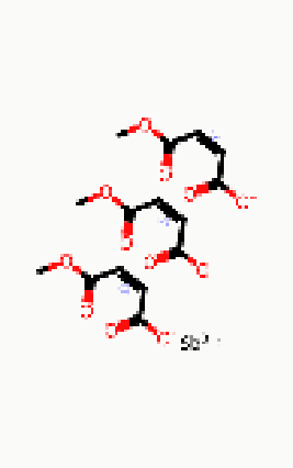 COC(=O)/C=C\C(=O)[O-].COC(=O)/C=C\C(=O)[O-].COC(=O)/C=C\C(=O)[O-].[Sb+3]